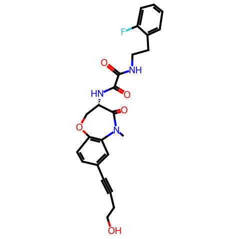 CN1C(=O)[C@@H](NC(=O)C(=O)NCCc2ccccc2F)COc2ccc(C#CCCO)cc21